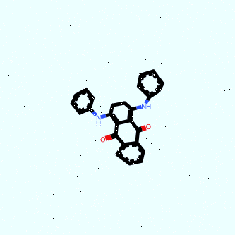 O=C1C2=C(Nc3ccccc3)CCC(Nc3ccccc3)=C2C(=O)c2ccccc21